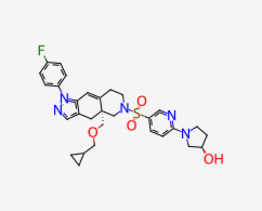 O=S(=O)(c1ccc(N2CC[C@@H](O)C2)nc1)N1CCC2=Cc3c(cnn3-c3ccc(F)cc3)C[C@]2(COCC2CC2)C1